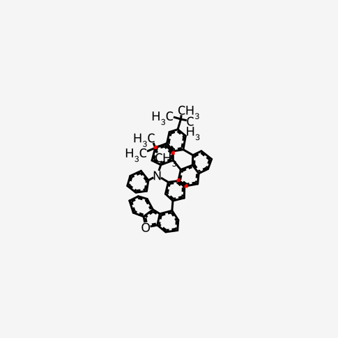 CC(C)(C)c1cc(-c2cccc3cccc(-c4ccccc4N(c4ccccc4)c4cccc(-c5cccc6oc7ccccc7c56)c4)c23)cc(C(C)(C)C)c1